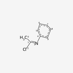 C/C(Cl)=N\c1ccccc1